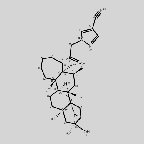 CC[C@]12CC[C@@](C)(O)C[C@H]1CC[C@H]1[C@@H]3CCCC[C@H](C(=O)Cn4cc(C#N)cn4)[C@H]3[C@@H](C)C[C@@H]12